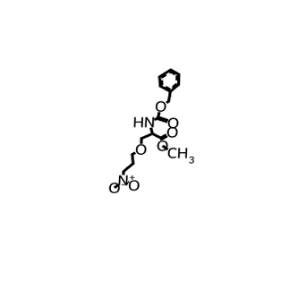 COC(=O)C(COCCC[N+](=O)[O-])NC(=O)OCc1ccccc1